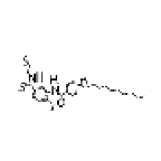 CCCCCCCCCCOc1ccc(C(=O)Nc2cc(C(=S)NCCSC)ccc2CC)cc1